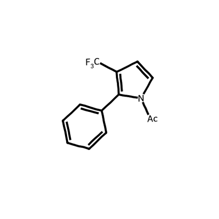 CC(=O)n1ccc(C(F)(F)F)c1-c1ccccc1